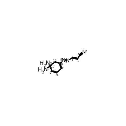 N#CC=CN=NC1=CC=CC(N)(N)C1